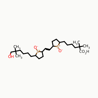 CC(C)(CO)CCCCC1CCC(C=CC2CCC(CCCCC(C)(C)C(=O)O)[S+]2[O-])[S+]1[O-]